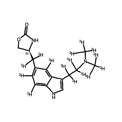 [2H]c1c(C([2H])([2H])[C@H]2COC(=O)N2)c([2H])c2c(C([2H])([2H])C([2H])([2H])N(C([2H])([2H])[2H])C([2H])([2H])[2H])c[nH]c2c1[2H]